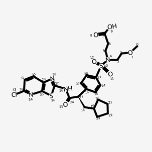 COCCN(CCC(=O)O)S(=O)(=O)c1ccc([C@@H](CC2CCCC2)C(=O)Nc2nc3ccc(Cl)nc3s2)cc1